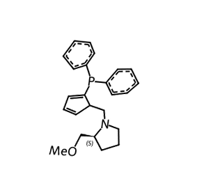 COC[C@@H]1CCCN1CC1C=CC=C1P(c1ccccc1)c1ccccc1